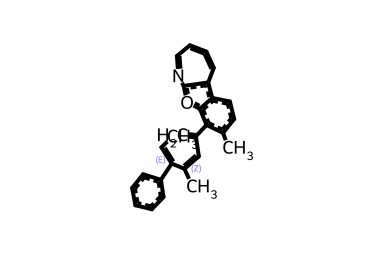 C=C(/C=C(C)\C(=C/C)c1ccccc1)c1c(C)ccc2c3c(oc12)N=CC=C=C3